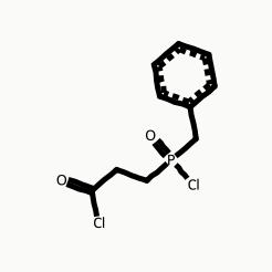 O=C(Cl)CCP(=O)(Cl)Cc1ccccc1